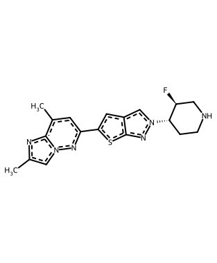 Cc1cn2nc(-c3cc4cn([C@H]5CCNC[C@@H]5F)nc4s3)cc(C)c2n1